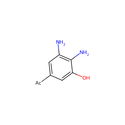 CC(=O)c1cc(N)c(N)c(O)c1